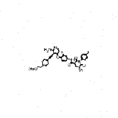 COCCN1CCC(C#Cc2c(Oc3ccc(NC(=O)c4cn(C(C)C)c(=O)n(-c5ccc(F)cc5)c4=O)cc3F)ccnc2N)CC1